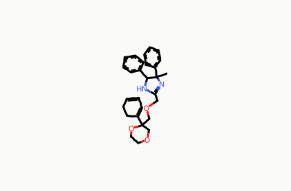 CC1(c2ccccc2)N=C(COCC2(C3=CC=CCC3)COCCO2)NC1c1ccccc1